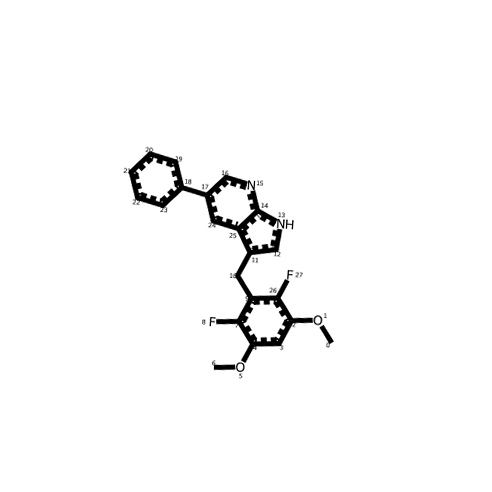 COc1cc(OC)c(F)c(Cc2c[nH]c3ncc(-c4ccccc4)cc23)c1F